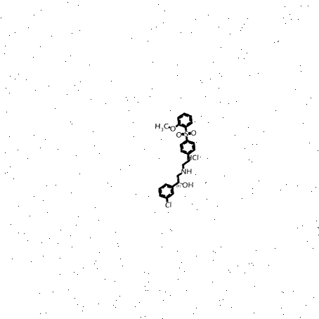 COc1ccccc1S(=O)(=O)c1ccc(CCNC[C@H](O)c2cccc(Cl)c2)cc1.Cl